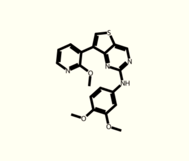 COc1ccc(Nc2ncc3scc(-c4cccnc4OC)c3n2)cc1OC